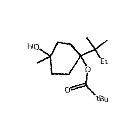 CCC(C)(C)C1(OC(=O)C(C)(C)C)CCC(C)(O)CC1